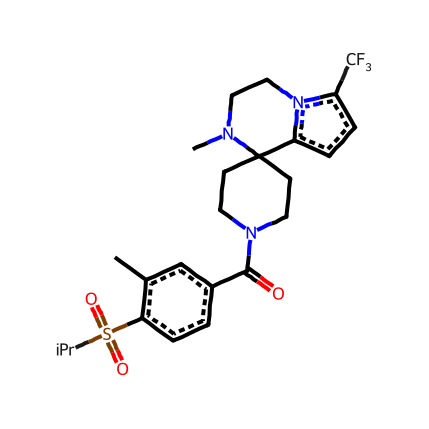 Cc1cc(C(=O)N2CCC3(CC2)c2ccc(C(F)(F)F)n2CCN3C)ccc1S(=O)(=O)C(C)C